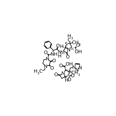 CCN1CCN(C(=O)NC(C(=O)N[C@@H]2C(=O)N3[C@@H]2SC(C)(C)[C@@H]3C(=O)O)c2ccccc2)C(=O)C1=O.C[C@]1(Cn2ccnn2)[C@H](C(=O)O)N2C(=O)C[C@H]2S1(=O)=O